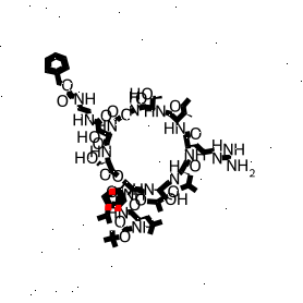 CC[C@H](C)[C@@H]1NC(=O)[C@@H](CCCNC(=N)N)NC(=O)[C@H](CC(C)C)NC(=O)[C@H]([C@H](O)C(C)C)NC(=O)[C@@H](NC(=O)[C@H](CC(C)C)NC(=O)[C@@H](CC(C)C)NC(=O)OC(C)(C)C)[C@@H](c2ccccc2)OC(=O)[C@H](CO)NC(=O)[C@H]([C@H](O)C(=O)NCCNC(=O)OCc2ccccc2)NC(=O)CNC(=O)[C@H]([C@H](C)O)NC1=O